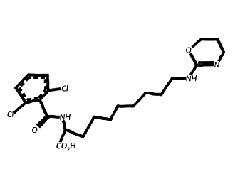 O=C(NC(CCCCCCCCNC1=NCCCO1)C(=O)O)c1c(Cl)cccc1Cl